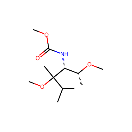 COC(=O)N[C@H]([C@@H](C)OC)C(C)(OC)C(C)C